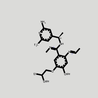 C/C=N/c1cc(OC)c(OCC(CC)OC)cc1/C(=N\C)N[C@H](C)c1cc(N)nc(C(F)(F)F)c1